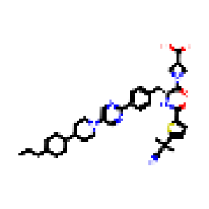 CCCC1CCC(C2CCN(c3cnc(-c4ccc(C[C@H](NC(=O)c5ccc(C(C)(C)C#N)s5)C(=O)N5CC(C(=O)O)C5)cc4)nc3)CC2)CC1